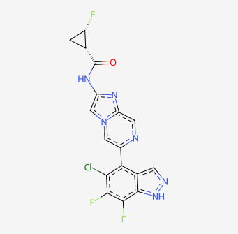 O=C(Nc1cn2cc(-c3c(Cl)c(F)c(F)c4[nH]ncc34)ncc2n1)[C@@H]1C[C@@H]1F